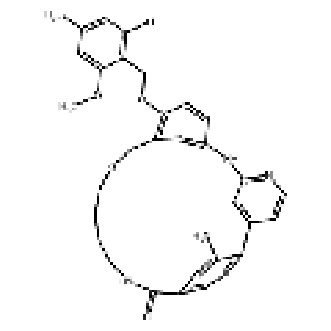 COc1cc(C)cc(Cl)c1COc1ccc2cc1COCCCCNC(=O)c1ccc(c(N)c1)-c1ccnc(n1)N2